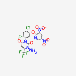 Nn1c(C(F)(F)F)cc(=O)n(-c2cc(Oc3ncc([N+](=O)[O-])cc3[N+](=O)[O-])c(Cl)cc2F)c1=O